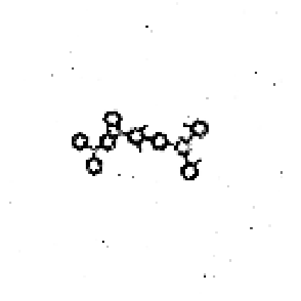 Cc1ccccc1-c1cc(-c2ccc(-c3c(C)cc(-n4c5ccccc5c5cc(N(c6ccccc6)c6ccccc6)ccc54)cc3C)cc2)nc(-c2ccccc2C)n1